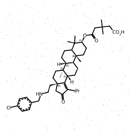 CC(C)C1=C2[C@H]3CCC4[C@@H](CCC5C(C)(C)[C@@H](OC(=O)CC(C)(C)CC(=O)O)CC[C@]45C)[C@]3(C)CC[C@@]2(CCNCc2ccc(Cl)cc2)CC1=O